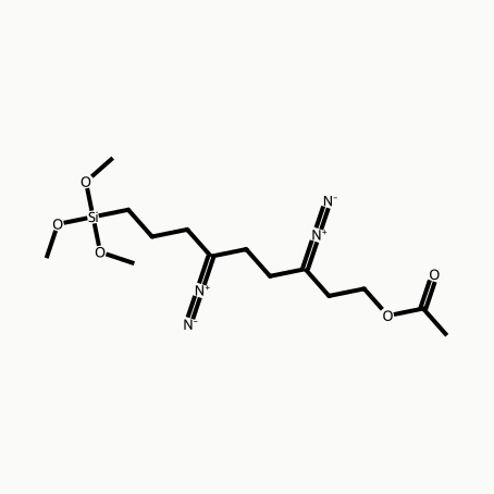 CO[Si](CCCC(CCC(CCOC(C)=O)=[N+]=[N-])=[N+]=[N-])(OC)OC